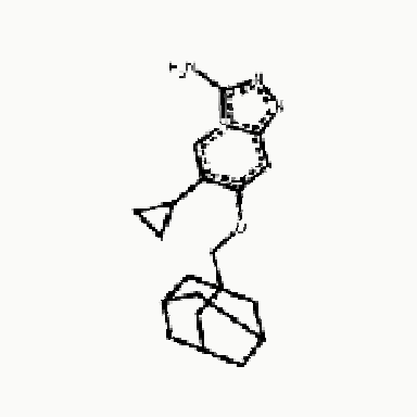 Nc1nnc2cc(OCC34CC5CC(CC(C5)C3)C4)c(C3CC3)cn12